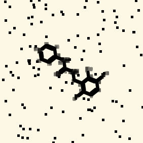 O=C(NCc1c(F)ccc(F)c1F)Nc1ccncc1